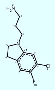 NCCCN1CCc2cc(F)c(Cl)cc21